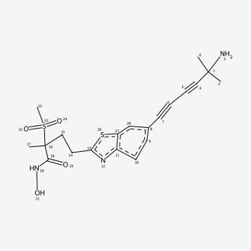 CC(C)(N)C#CC#Cc1ccc2nc(CCC(C)(C(=O)NO)S(C)(=O)=O)sc2c1